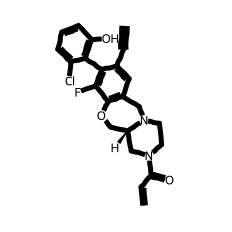 C#Cc1cc2c(c(F)c1-c1c(O)cccc1Cl)OC[C@H]1CN(C(=O)C=C)CCN1C2